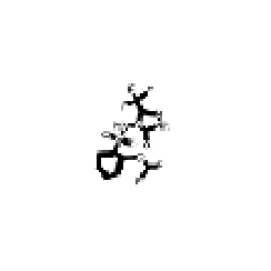 O=c1[nH]nc(C(F)(F)F)n1NS(=O)(=O)c1ccccc1OC(F)F